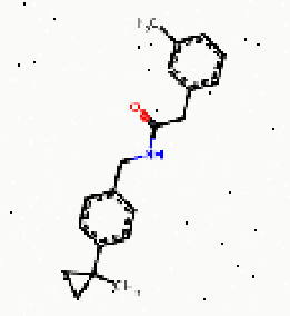 CC1(c2ccc(CNC(=O)Cc3cccc(C(F)(F)F)c3)cc2)CC1